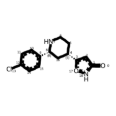 O=c1cc([C@H]2CCN[C@@H](c3ccc(Cl)cc3)C2)o[nH]1